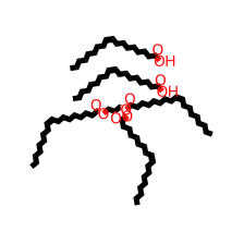 CCCCCCCC/C=C\CCCCCCCC(=O)O.CCCCCCCC/C=C\CCCCCCCC(=O)O.CCCCCCCC/C=C\CCCCCCCC(=O)OCC(COC(=O)CCCCCCC/C=C\CCCCCCCC)OC(=O)CCCCCCC/C=C\CCCCCCCC